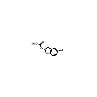 COC(=O)O[C@@H]1Cc2ccc(N)cc2C1